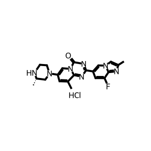 Cc1cn2cc(-c3nc(=O)n4cc(N5CCN[C@@H](C)C5)cc(C)c4n3)cc(F)c2n1.Cl